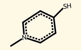 C[n+]1ccc(S)cc1